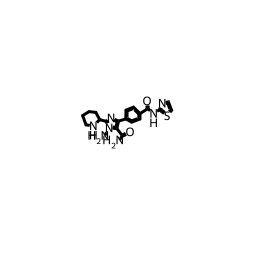 NC(=O)c1c(-c2ccc(C(=O)Nc3nccs3)cc2)nc(C2CCCCN2)n1N